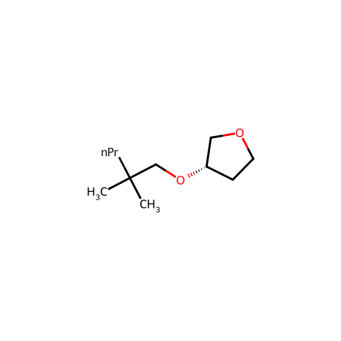 CCCC(C)(C)CO[C@H]1CCOC1